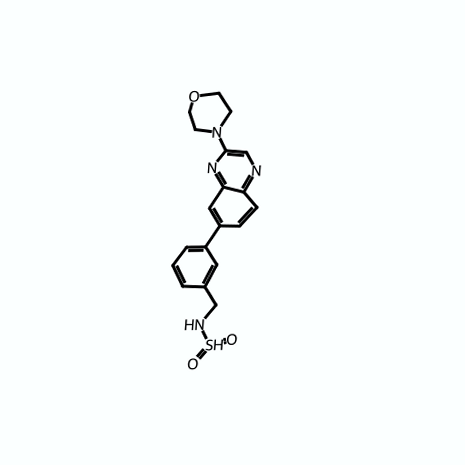 O=[SH](=O)NCc1cccc(-c2ccc3ncc(N4CCOCC4)nc3c2)c1